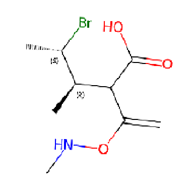 C=C(ONC)C(C(=O)O)[C@@H](C)[C@H](C)Br